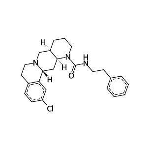 O=C(NCCc1ccccc1)N1CCC[C@@H]2CN3CCc4ccc(Cl)cc4[C@H]3C[C@@H]21